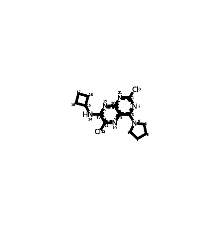 Clc1nc(N2CCCC2)c2nc(Cl)c(NC3CCC3)nc2n1